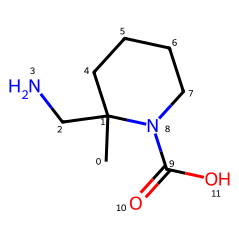 CC1(CN)CCCCN1C(=O)O